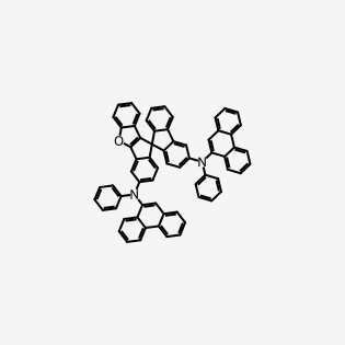 c1ccc(N(c2ccc3c(c2)-c2ccccc2C32c3ccc(N(c4ccccc4)c4cc5ccccc5c5ccccc45)cc3-c3oc4ccccc4c32)c2cc3ccccc3c3ccccc23)cc1